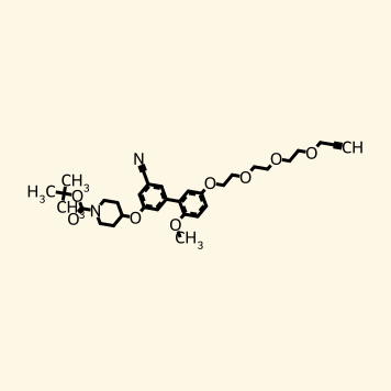 C#CCOCCOCCOCCOc1ccc(OC)c(-c2cc(C#N)cc(OC3CCN(C(=O)OC(C)(C)C)CC3)c2)c1